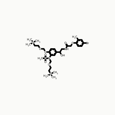 Cc1cc(Br)ccc1OCC(=O)NCC(O)c1ccc(OCOCC[Si](C)(C)C)c(N(COCC[Si](C)(C)C)S(C)(=O)=O)c1